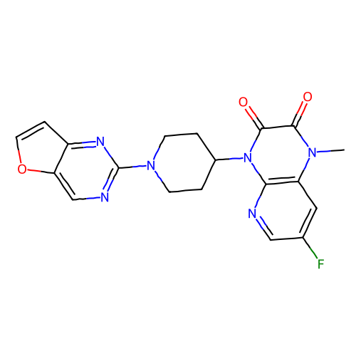 Cn1c(=O)c(=O)n(C2CCN(c3ncc4occc4n3)CC2)c2ncc(F)cc21